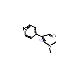 CN(C)/C=C(\C=O)c1ccncc1